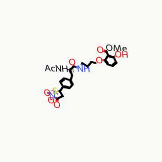 COC(=O)c1c(O)cccc1OCCCCNC(=O)[C@H](Cc1ccc(C2CC(=O)[N+]([O-])([O-])S2)cc1)NC(C)=O